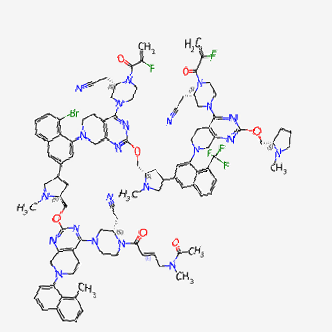 C=C(F)C(=O)N1CCN(c2nc(OC[C@@H]3CC(c4cc(N5CCc6c(nc(OC[C@@H]7CCCN7C)nc6N6CCN(C(=O)C(=C)F)[C@@H](CC#N)C6)C5)c5c(C(F)(F)F)cccc5c4)CN3C)nc3c2CCN(c2cc(C4C[C@@H](COc5nc6c(c(N7CCN(C(=O)/C=C/CN(C)C(C)=O)[C@@H](CC#N)C7)n5)CCN(c5cccc7cccc(C)c57)C6)N(C)C4)cc4cccc(Br)c24)C3)C[C@@H]1CC#N